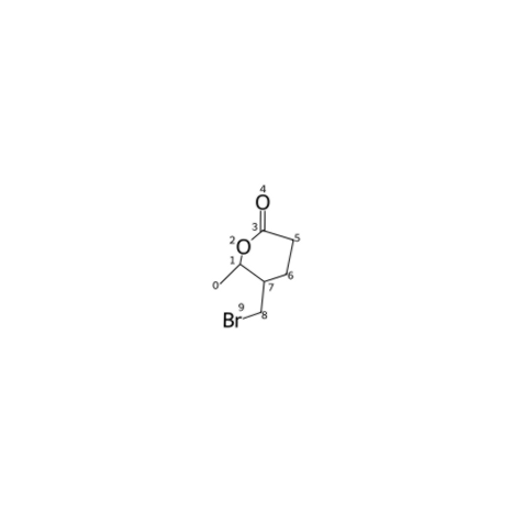 CC1OC(=O)CCC1CBr